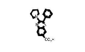 O=C(O)c1ccc2nc(N3CCCCC3)c(-c3ccccc3)nc2c1